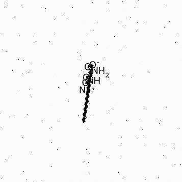 CCCCCCCCCCCCCCCC(=O)NC(=O)CCC(N)C(=O)[O-].[Na+]